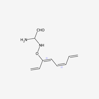 C=C/C=C\C=C(/C=C)ONC(N)C=O